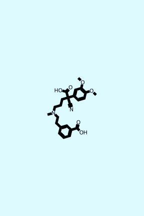 COc1ccc(C(C#N)(CCCN(C)CCc2cccc(C(=O)O)c2)C(=O)O)cc1OC